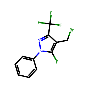 Fc1c(CBr)c(C(F)(F)F)nn1-c1ccccc1